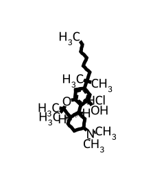 CCCCCCC(C)(C)c1cc(O)c2c(c1)OC(C)(C)[C@@H]1CCC(N(C)C)C[C@@H]21.Cl